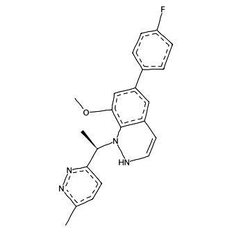 COc1cc(-c2ccc(F)cc2)cc2c1N([C@H](C)c1ccc(C)nn1)NC=C2